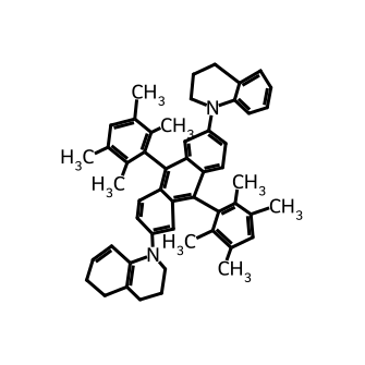 Cc1cc(C)c(C)c(-c2c3ccc(N4CCCc5ccccc54)cc3c(-c3c(C)c(C)cc(C)c3C)c3ccc(N4CCCC5=C4C=CCC5)cc23)c1C